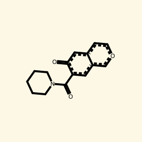 O=C(c1cc2coccc-2cc1=O)N1CCCCC1